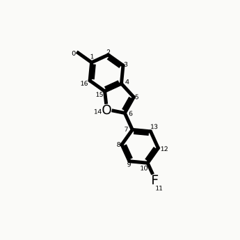 Cc1ccc2cc(-c3ccc(F)cc3)oc2c1